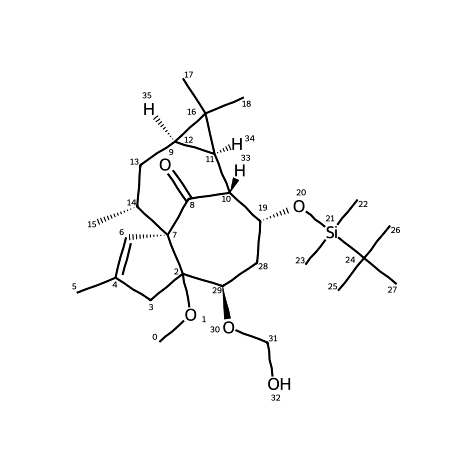 COC12CC(C)=C[C@]13C(=O)[C@H]([C@H]1[C@@H](C[C@H]3C)C1(C)C)[C@H](O[Si](C)(C)C(C)(C)C)C[C@H]2OCO